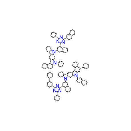 c1ccc(-c2nc(-c3ccc4ccccc4c3)nc(-c3cc(-n4c5ccccc5c5cc6c7c8ccccc8c(-c8ccc(-c9cccc(-c%10nc(-c%11ccccc%11)nc(-c%11cc(-n%12c%13ccccc%13c%13cc%14c%15c%16ccccc%16c(-c%16ccccc%16)cc%15n(-c%15ccc%16ccccc%16c%15)c%14cc%13%12)cc%12ccccc%11%12)n%10)c9)cc8)cc7n(-c7ccccc7)c6cc54)cc4ccccc34)n2)cc1